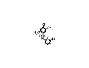 CCc1nccc(NS(=O)(=O)c2cc(C)c(Cl)cc2C)n1